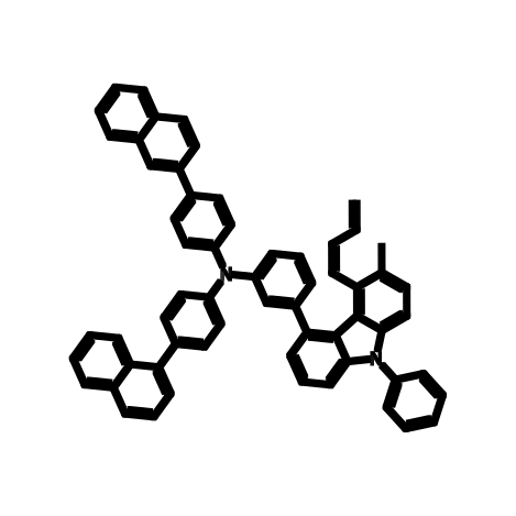 C=C/C=C\c1c(C)ccc2c1c1c(-c3cccc(N(c4ccc(-c5ccc6ccccc6c5)cc4)c4ccc(-c5cccc6ccccc56)cc4)c3)cccc1n2-c1ccccc1